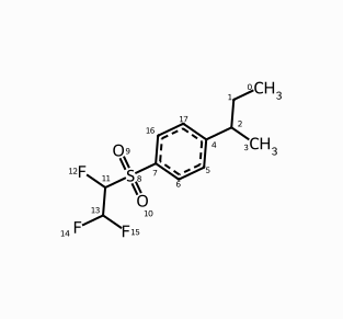 CCC(C)c1ccc(S(=O)(=O)C(F)C(F)F)cc1